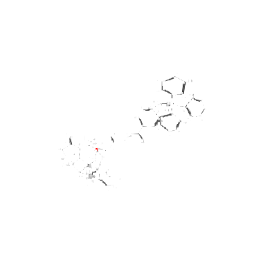 C=C[C@]1(C)C[C@@H](OC(=O)COC(=O)c2ccc(C[PH](c3ccccc3)(c3ccccc3)c3ccccc3)cc2)[C@]2(C)CC[C@H]3C([C@H](C)[C@]34CCC(=O)C42)[C@@H]1O